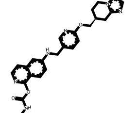 CNC(=O)Oc1nccc2cc(NCc3ccc(OC[C@H]4CCn5ccnc5C4)nc3)ccc12